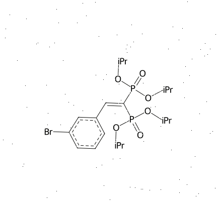 CC(C)OP(=O)(OC(C)C)C(=Cc1cccc(Br)c1)P(=O)(OC(C)C)OC(C)C